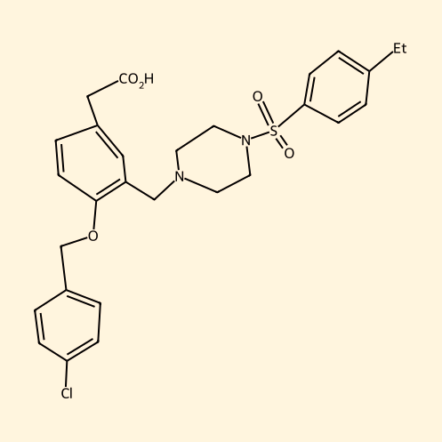 CCc1ccc(S(=O)(=O)N2CCN(Cc3cc(CC(=O)O)ccc3OCc3ccc(Cl)cc3)CC2)cc1